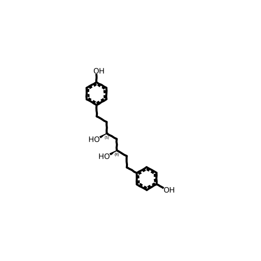 Oc1ccc(CC[C@@H](O)C[C@@H](O)CCc2ccc(O)cc2)cc1